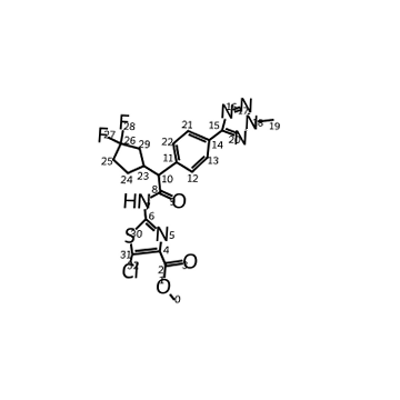 COC(=O)c1nc(NC(=O)C(c2ccc(-c3nnn(C)n3)cc2)C2CCC(F)(F)C2)sc1Cl